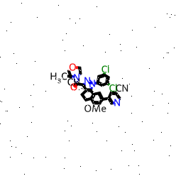 COc1cc2c(cc1-c1cncc(C#N)c1)-c1c(c(C(=O)N3CCOCC3(C)C)nn1-c1cc(Cl)cc(Cl)c1)CC2